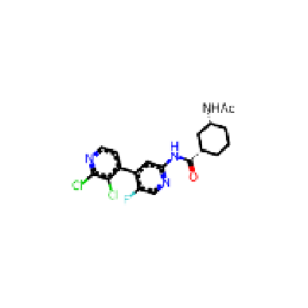 CC(=O)N[C@@H]1CCC[C@H](C(=O)Nc2cc(-c3ccnc(Cl)c3Cl)c(F)cn2)C1